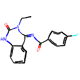 CCn1c(=O)[nH]c2ccccc2c1=NC(=O)c1ccc(F)cc1